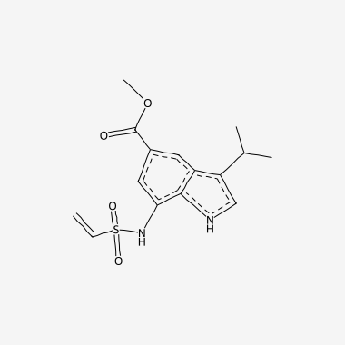 C=CS(=O)(=O)Nc1cc(C(=O)OC)cc2c(C(C)C)c[nH]c12